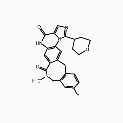 CN1Cc2cc(F)ccc2Cc2cc3c(cc2C1=O)[nH]c(=O)c1cnc(C2CCOCC2)n13